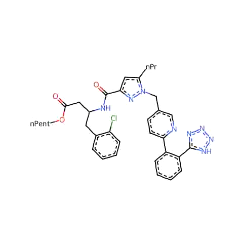 CCCCCOC(=O)CC(Cc1ccccc1Cl)NC(=O)c1cc(CCC)n(Cc2ccc(-c3ccccc3-c3nnn[nH]3)nc2)n1